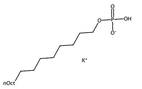 CCCCCCCCCCCCCCCCOP(=O)([O-])O.[K+]